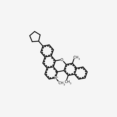 Cc1c2c(c(C)c3ccccc13)-c1c3c(c4ccc(C5CCCC5)cc4cc3cc[n+]1C)O2